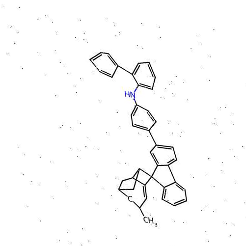 CC1C=C2C3CC(C1)CC3C21c2ccccc2-c2ccc(-c3ccc(Nc4ccccc4-c4ccccc4)cc3)cc21